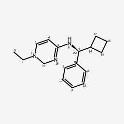 CCN1C=CC(N[C@H](c2ccccc2)C2CCC2)=NC1